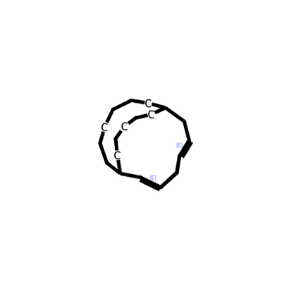 C1=C/CC2CCCCCCC(/C=C/C/1)CCCCC2